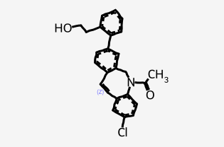 CC(=O)N1Cc2cc(-c3ccccc3CCO)ccc2/C=C\c2cc(Cl)ccc21